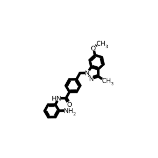 COc1ccc2c(C)nn(Cc3ccc(C(=O)Nc4ccccc4N)cc3)c2c1